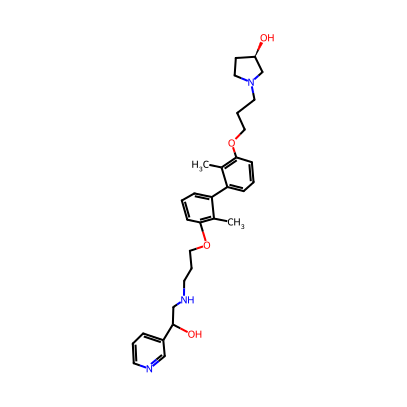 Cc1c(OCCCNCC(O)c2cccnc2)cccc1-c1cccc(OCCCN2CC[C@@H](O)C2)c1C